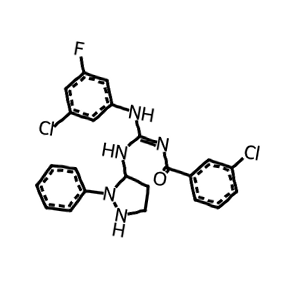 O=C(/N=C(/Nc1cc(F)cc(Cl)c1)NC1CCNN1c1ccccc1)c1cccc(Cl)c1